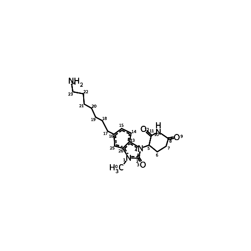 Cn1c(=O)n(C2CCC(=O)NC2=O)c2ccc(CCCCCCCN)cc21